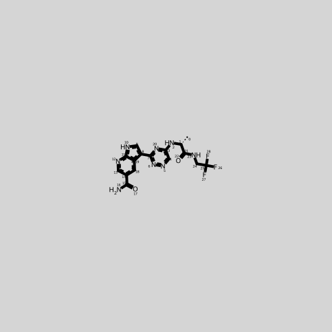 C[C@@H](Nc1cnnc(-c2c[nH]c3ncc(C(N)=O)cc23)n1)C(=O)NCC(F)(F)F